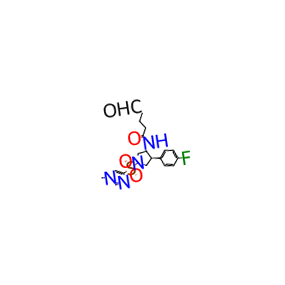 Cn1cnc(S(=O)(=O)N2C[C@H](NC(=O)CCCC=O)[C@@H](c3ccc(F)cc3)C2)c1